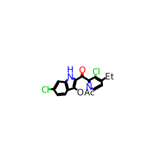 CCc1ccnc(C(=O)c2[nH]c3cc(Cl)ccc3c2OC(C)=O)c1Cl